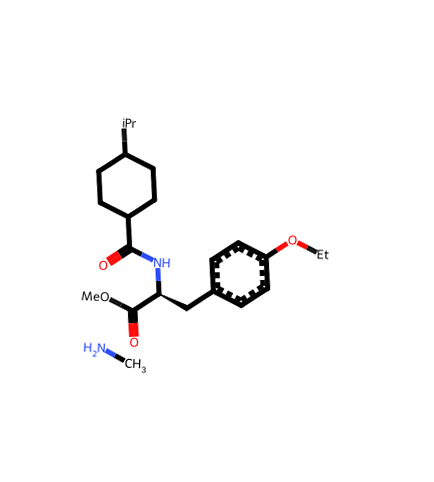 CCOc1ccc(C[C@H](NC(=O)C2CCC(C(C)C)CC2)C(=O)OC)cc1.CN